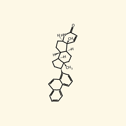 C[C@]12C=CC(=O)N[C@@H]1CC[C@@H]1[C@@H]2CC[C@]2(C)[C@@H](c3cccc4c3ccc3ccccc34)CC[C@@H]12